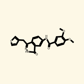 COc1ccc(C(=O)Nc2ccc3c(Cc4ccsc4)n[nH]c(=O)c3c2)cc1OC